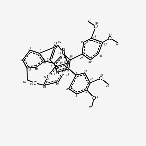 COc1ccc(-c2nc(-c3cc4ccc3CCc3ccc(cc3C=O)CC4)[nH]c2-c2ccc(OC)c(OC)c2)cc1OC